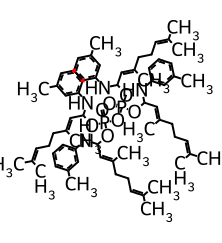 CC(C)=CCC/C(C)=C/C(Nc1cccc(C)c1)OP(=O)(OC(/C=C(\C)CCC=C(C)C)Nc1cccc(C)c1)OP(=O)(OC(/C=C(\C)CCC=C(C)C)Nc1cccc(C)c1)OC(/C=C(\C)CCC=C(C)C)Nc1cccc(C)c1